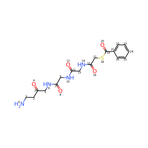 NCCC(=O)CNC(=O)CNC(=O)CNC(=O)CSC(=O)c1ccccc1